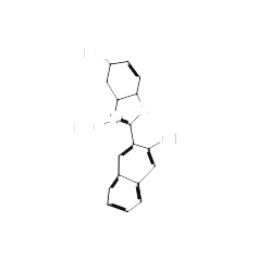 CC1C=CC2SC(c3cc4ccccc4cc3O)=[N+](C)C2C1